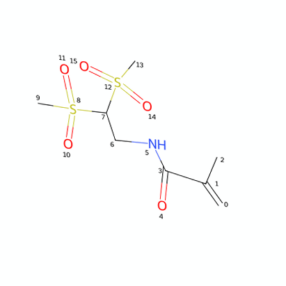 C=C(C)C(=O)NCC(S(C)(=O)=O)S(C)(=O)=O